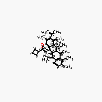 C=C(C)C1=C(C)C[C@@]2(C)[C@H](CC(=O)C3CCC3)[C@]3(C)C(=C(C)[C@@]2(C)C1=C)C(=C)c1c(ccc(C)c1C)[C@H]3C